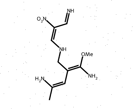 CO/C(N)=C(/C=C(/C)N)CN/C=C(\C=N)[N+](=O)[O-]